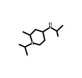 CC(C)NC1CCN(C(C)C)C(C)C1